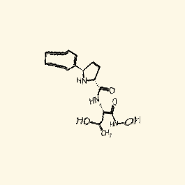 C[C@@H](O)[C@H](NC(=O)[C@H]1CC[C@H](c2ccccc2)N1)C(=O)NO